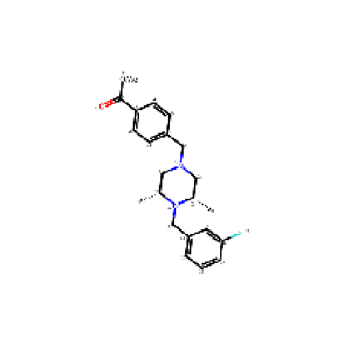 COC(=O)c1ccc(CN2C[C@@H](C)N(Cc3cccc(F)c3)[C@@H](C)C2)cc1